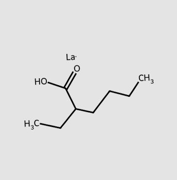 CCCCC(CC)C(=O)O.[La]